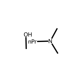 CCCN(C)C.CO